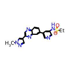 CCS(=O)(=O)Nc1cncc(-c2ccc3ncc(-c4cnn(C)c4)nc3c2)c1